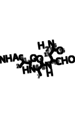 CC(=O)NC(C)C(=O)NC(C)C(=O)NC(C=O)CC(N)=O